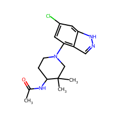 CC(=O)NC1CCN(c2cc(Cl)cc3[nH]ncc23)CC1(C)C